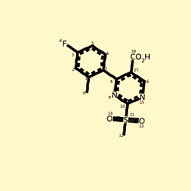 Cc1cc(F)ccc1-c1nc(S(C)(=O)=O)ncc1C(=O)O